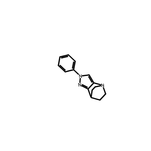 c1ccc(-n2cc3c(n2)C2CCN3CC2)cc1